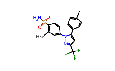 Cc1ccc(-c2cc(C(F)(F)F)nn2-c2ccc(S(N)(=O)=O)c([SeH])c2)cc1